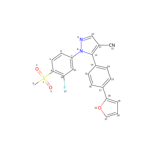 CS(=O)(=O)c1ccc(-n2ncc(C#N)c2-c2ccc(-c3ccco3)cc2)cc1F